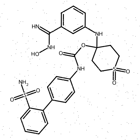 N=C(NO)c1cccc(NC2(OC(=O)Nc3ccc(-c4ccccc4S(N)(=O)=O)cc3)CCS(=O)(=O)CC2)c1